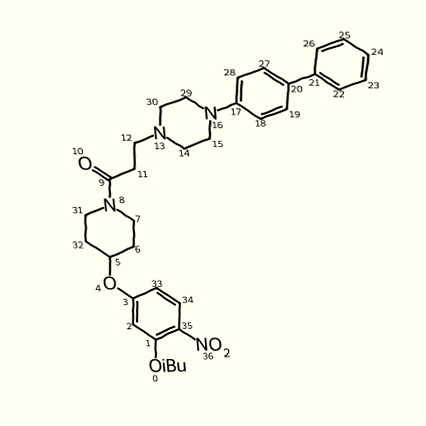 CC(C)COc1cc(OC2CCN(C(=O)CCN3CCN(c4ccc(-c5ccccc5)cc4)CC3)CC2)ccc1[N+](=O)[O-]